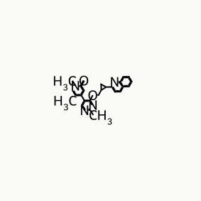 Cc1ncc(-c2cc(=O)n(C)cc2C)c(OCC2CC2c2ccc3ccccc3n2)n1